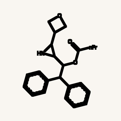 CCCC(=O)OC(C(c1ccccc1)c1ccccc1)C1NC1C1COC1